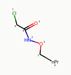 CCCCONC(=O)CCl